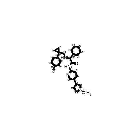 Cn1cc(-c2ccc(NC(=O)C(NCC3(c4ccc(Cl)cc4)CC3)c3ccccc3)nc2)cn1